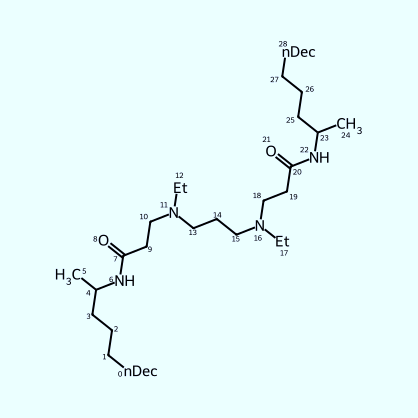 CCCCCCCCCCCCCC(C)NC(=O)CCN(CC)CCCN(CC)CCC(=O)NC(C)CCCCCCCCCCCCC